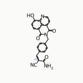 N#C/C(=C/c1ccc(CN2C(=O)c3ccnc4c(O)ccc(c34)C2=O)cc1)C(N)=O